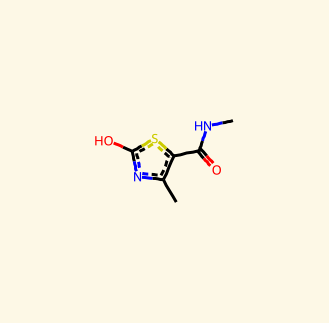 CNC(=O)c1sc(O)nc1C